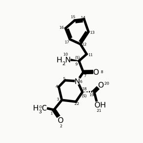 CC(=O)C1CCN(C(=O)[C@@H](N)Cc2ccccc2)[C@H](C(=O)O)C1